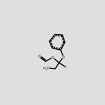 CCC(F)(O[C]=O)Oc1ccccc1